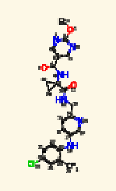 CCOc1ncc(C(=O)NC2(C(=O)NCc3ccc(Nc4ccc(Cl)cc4C(F)(F)F)cn3)CC2)cn1